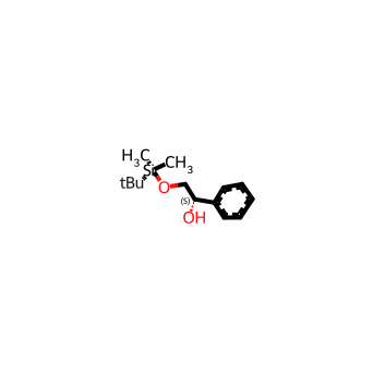 CC(C)(C)[Si](C)(C)OC[C@@H](O)c1ccccc1